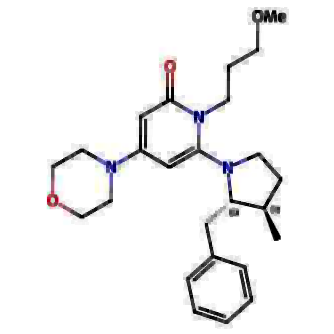 COCCCn1c(N2CC[C@@H](C)[C@@H]2Cc2ccccc2)cc(N2CCOCC2)cc1=O